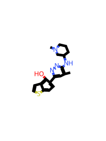 Cc1cc(-c2ccc3sccc3c2O)nnc1NC1CCCN(C)C1